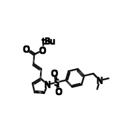 CN(C)Cc1ccc(S(=O)(=O)n2cccc2C=CC(=O)OC(C)(C)C)cc1